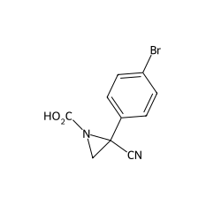 N#CC1(c2ccc(Br)cc2)CN1C(=O)O